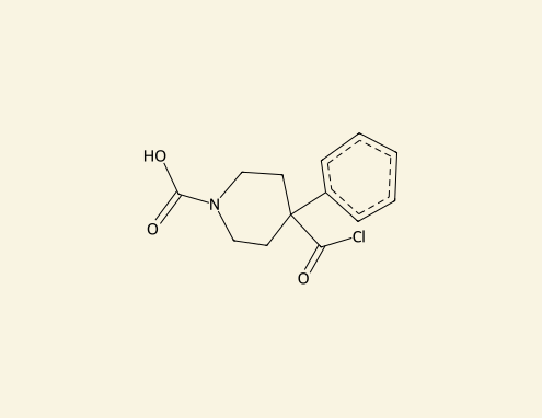 O=C(O)N1CCC(C(=O)Cl)(c2ccccc2)CC1